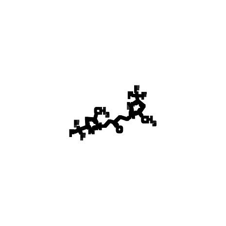 Cc1cc(C(F)(F)F)nn1CCC(=O)CCn1nc(C(F)(F)F)cc1C